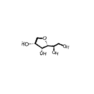 OC[C@@H](O)[C@H]1OC[C@@H](O)[C@H]1O